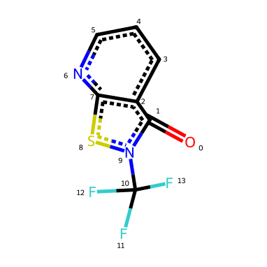 O=c1c2cccnc2sn1C(F)(F)F